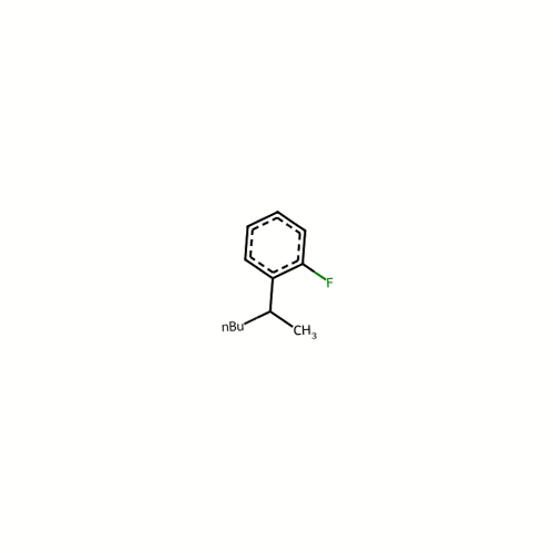 CCCCC(C)c1ccccc1F